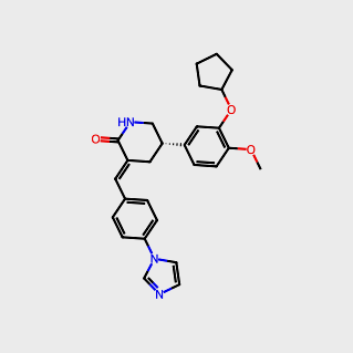 COc1ccc([C@H]2CNC(=O)C(=Cc3ccc(-n4ccnc4)cc3)C2)cc1OC1CCCC1